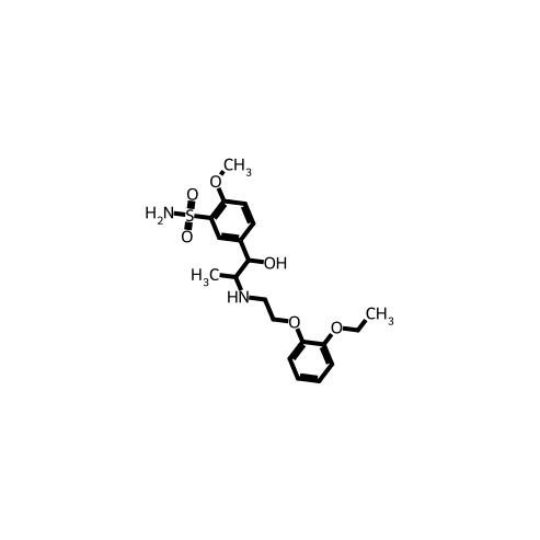 CCOc1ccccc1OCCNC(C)C(O)c1ccc(OC)c(S(N)(=O)=O)c1